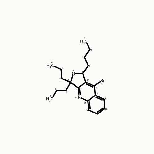 CCCCC1OC(CCC)(CCC)c2nc3ccccc3c(Br)c21